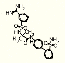 CC(C)(NS(=O)(=O)c1cccc(C(=N)N)c1)C(=O)Nc1ccc(-c2ccccc2S(N)(=O)=O)cc1